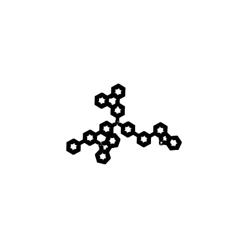 c1ccc(-c2ccc(-c3ccc(N(c4ccc(-c5cccc(-c6cccc7c6oc6ccccc67)c5)cc4)c4ccc5c6ccccc6c6ccccc6c5c4)cc3)c(-n3c4ccccc4c4ccccc43)c2)cc1